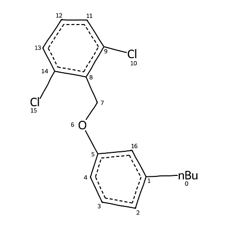 CCCCc1cccc(OCc2c(Cl)cccc2Cl)c1